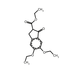 CCOC(=O)C1Cc2cc(OCC)c(OCC)cc2C1=O